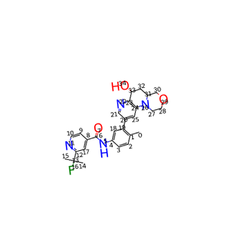 Cc1ccc(NC(=O)c2ccnc(C(C)(C)F)c2)cc1-c1cnc2c(c1)N1CCOCC1CC2O